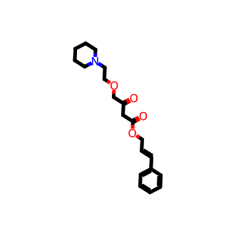 O=C(COCCN1CCCCC1)CC(=O)OCC=Cc1ccccc1